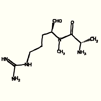 C[C@H](N)C(=O)N(C)[C@H](C=O)CCCNC(=N)N